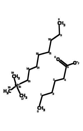 CCCCCC(=O)[O-].CCCCCCCC[N+](C)(C)C